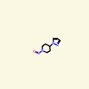 O=NN1CCC(n2cccn2)CC1